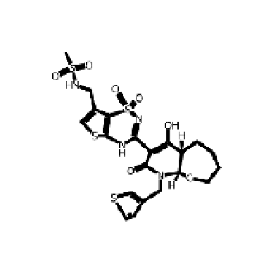 CS(=O)(=O)NCc1csc2c1S(=O)(=O)N=C(C1=C(O)[C@@H]3CCCCC[C@@H]3N(Cc3ccsc3)C1=O)N2